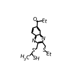 CCSCc1nc2cc(C(=O)CC)ccc2nc1CSC(C)S